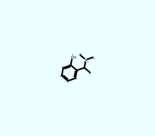 CC(c1c[c]ccc1O)N(C)C